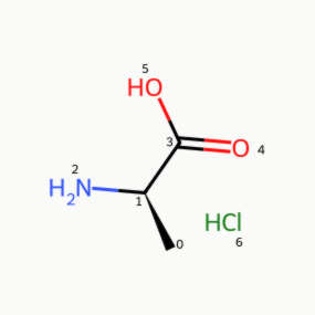 C[C@@H](N)C(=O)O.Cl